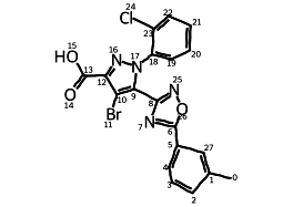 Cc1cccc(-c2nc(-c3c(Br)c(C(=O)O)nn3-c3ccccc3Cl)no2)c1